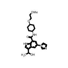 COCCO[C@H]1CC[C@H](NC(=O)c2cc(-n3ccnc3)cc3c(C(C)O)c[nH]c23)CC1